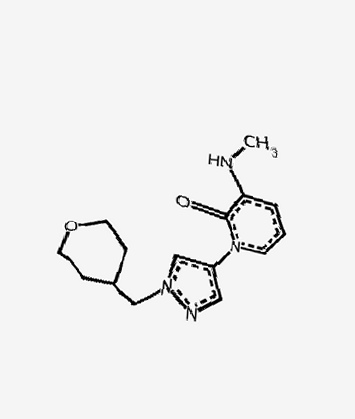 CNc1cccn(-c2cnn(CC3CCOCC3)c2)c1=O